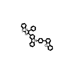 c1ccc(-c2c(-c3ccc4c(c3)c3ccccc3n4-c3ccc(-c4cccc5c4oc4ccccc45)cc3)nc3sc4ccccc4n23)cc1